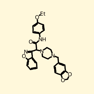 CCOc1ccc(NC(=O)C(c2noc3ccccc23)N2CCN(Cc3ccc4c(c3)OCO4)CC2)cc1